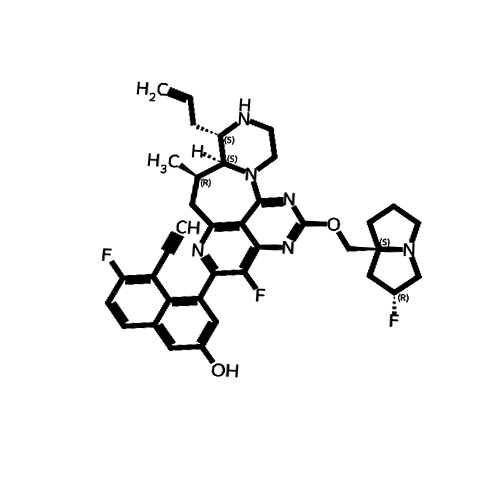 C#Cc1c(F)ccc2cc(O)cc(-c3nc4c5c(nc(OC[C@@]67CCCN6C[C@H](F)C7)nc5c3F)N3CCN[C@@H](CC=C)[C@@H]3[C@H](C)C4)c12